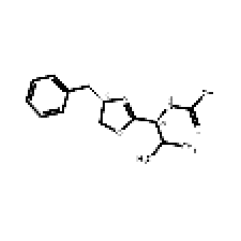 CC(C)[C@H](NC(=O)O)C1=N[C@@H](Cc2ccccc2)CO1